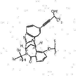 [2H]C([2H])([2H])N1C(=O)c2cccc(OC(F)F)c2[C@H]2C[C@@H]1c1nc3ccc(C#CC(O)C(F)(F)F)cc3n12